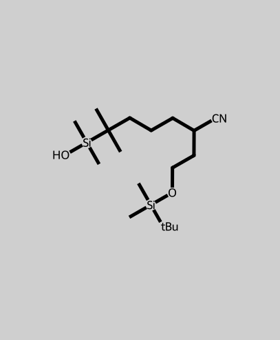 CC(C)(CCCC(C#N)CCO[Si](C)(C)C(C)(C)C)[Si](C)(C)O